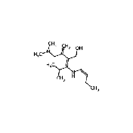 C=C(CN(C)C)C(CO)=C(N/C=C\CC)C(C)C